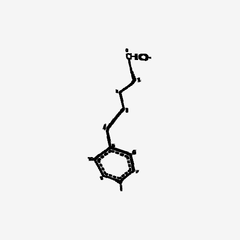 O=[C]CCCCc1ccccc1